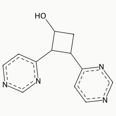 OC1CC(c2ccncn2)C1c1ccncn1